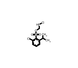 CC(C)c1cccc(Cl)c1S(=O)(=O)OCPCl